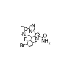 CCOc1cncc(-c2sc(C(N)=O)nc2C(CCN(C)C)c2c(F)ccc(Br)c2F)n1